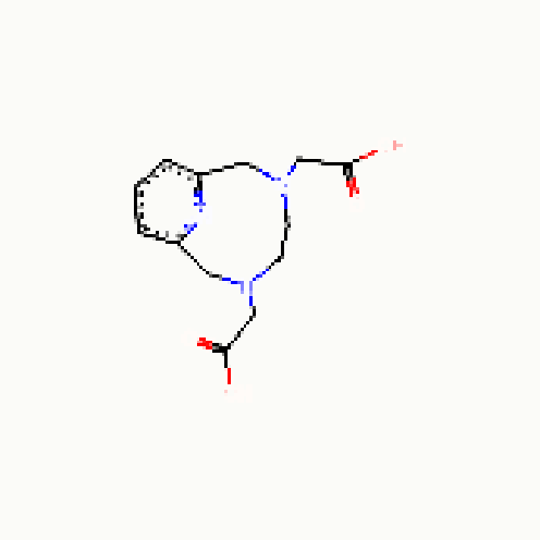 O=C(O)CN1CCN(CC(=O)O)Cc2cccc(n2)C1